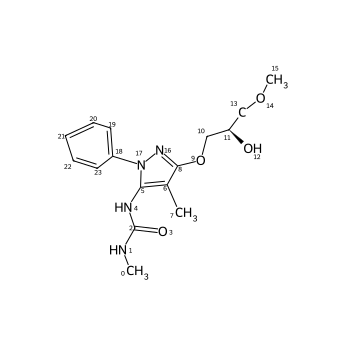 CNC(=O)Nc1c(C)c(OC[C@H](O)COC)nn1-c1ccccc1